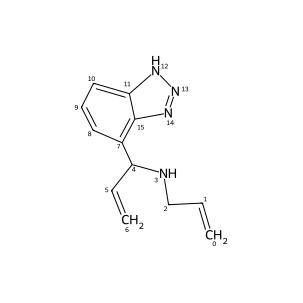 C=CCNC(C=C)c1cccc2[nH]nnc12